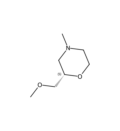 COC[C@@H]1CN(C)CCO1